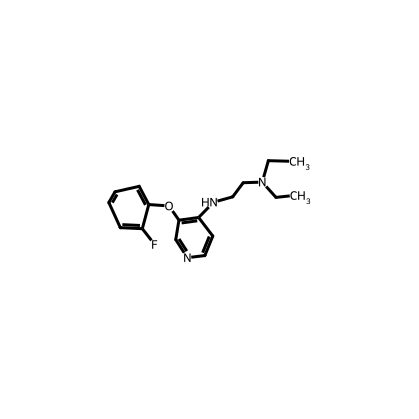 CCN(CC)CCNc1ccncc1Oc1ccccc1F